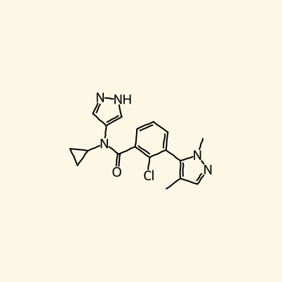 Cc1cnn(C)c1-c1cccc(C(=O)N(c2cn[nH]c2)C2CC2)c1Cl